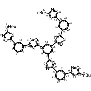 CCCCCCc1noc(-c2cccc(-c3noc(-c4cc(-c5nc(-c6cccc(-c7noc(CCCC)n7)c6)no5)cc(-c5nc(-c6cccc(-c7nc(CCCC)ns7)c6)no5)c4)n3)c2)n1